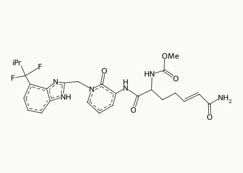 COC(=O)NC(CC/C=C/C(N)=O)C(=O)Nc1cccn(Cc2nc3c(C(F)(F)C(C)C)cccc3[nH]2)c1=O